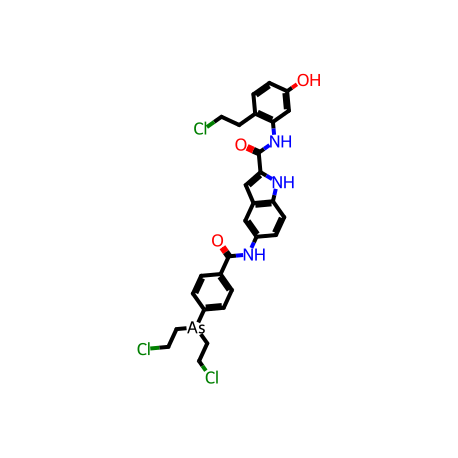 O=C(Nc1ccc2[nH]c(C(=O)Nc3cc(O)ccc3CCCl)cc2c1)c1ccc([As](CCCl)CCCl)cc1